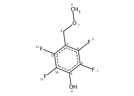 COCc1c(F)c(F)c(O)c(F)c1F